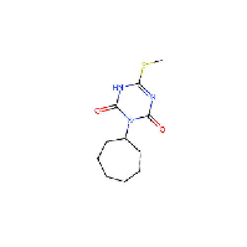 CSc1nc(=O)n(C2CCCCCC2)c(=O)[nH]1